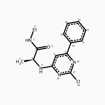 CCNC(=O)[C@H](C)Nc1cc(-c2ccccc2)nc(Cl)n1